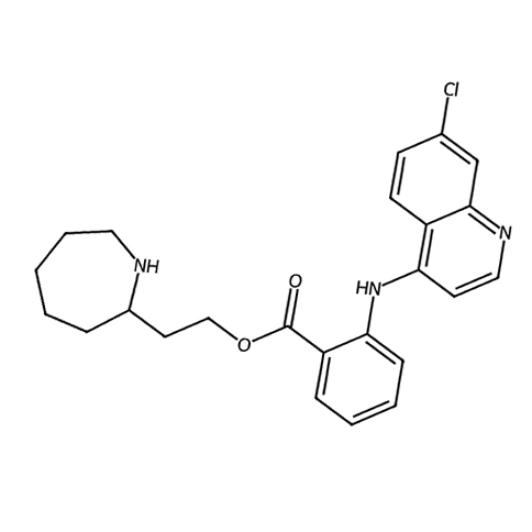 O=C(OCCC1CCCCCN1)c1ccccc1Nc1ccnc2cc(Cl)ccc12